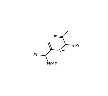 C=C(C)C(CCC)NC(=C)C(CC)NC